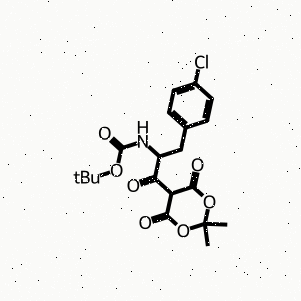 CC(C)(C)OC(=O)NC(Cc1ccc(Cl)cc1)C(=O)C1C(=O)OC(C)(C)OC1=O